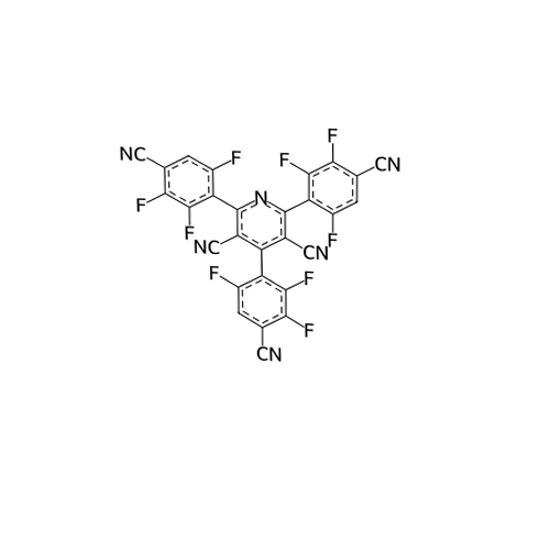 N#Cc1cc(F)c(-c2nc(-c3c(F)cc(C#N)c(F)c3F)c(C#N)c(-c3c(F)cc(C#N)c(F)c3F)c2C#N)c(F)c1F